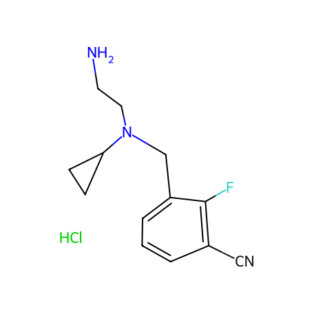 Cl.N#Cc1cccc(CN(CCN)C2CC2)c1F